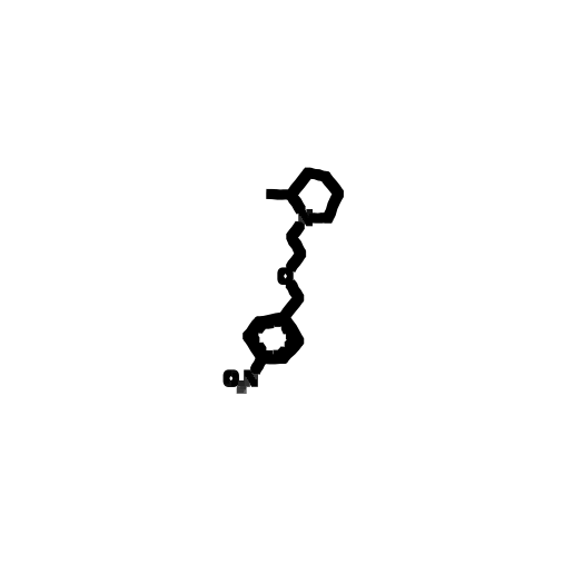 CC1CCCCN1CCOCc1ccc([N+](=O)[O-])cc1